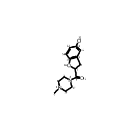 CN1CCN(C(=O)C2Cc3cc(Cl)ccc3O2)CC1